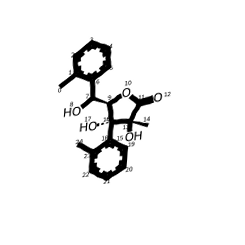 Cc1ccccc1C(O)[C@H]1OC(=O)[C@](C)(O)[C@@]1(O)c1ccccc1C